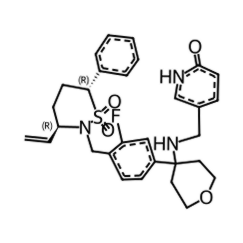 C=C[C@H]1CC[C@H](c2ccccc2)S(=O)(=O)N1Cc1ccc(C2(NCc3ccc(=O)[nH]c3)CCOCC2)cc1F